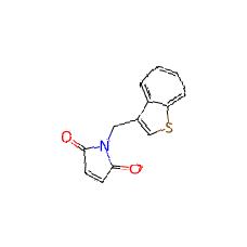 O=C1C=CC(=O)N1Cc1csc2ccccc12